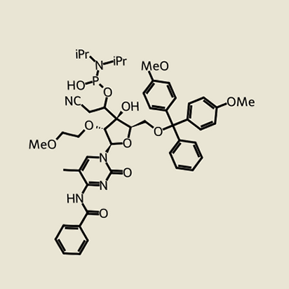 COCCO[C@H]1[C@H](n2cc(C)c(NC(=O)c3ccccc3)nc2=O)O[C@H](COC(c2ccccc2)(c2ccc(OC)cc2)c2ccc(OC)cc2)[C@@]1(O)C(CC#N)OP(O)N(C(C)C)C(C)C